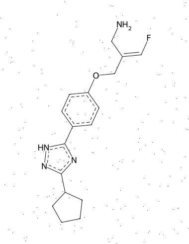 NC/C(=C\F)COc1ccc(-c2nc(C3CCCC3)n[nH]2)cc1